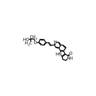 CC(C)(O)COc1ccc(/C=C/c2cc3c(ccc4c5c([nH]c43)CCNC5=O)cn2)cc1